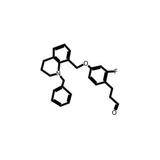 O=CCCc1ccc(OCc2cccc3c2N(Cc2ccccc2)CCC3)cc1F